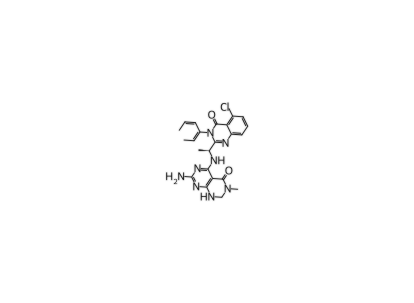 C/C=C\C(=C/C)n1c([C@H](C)Nc2nc(N)nc3c2C(=O)N(C)CN3)nc2cccc(Cl)c2c1=O